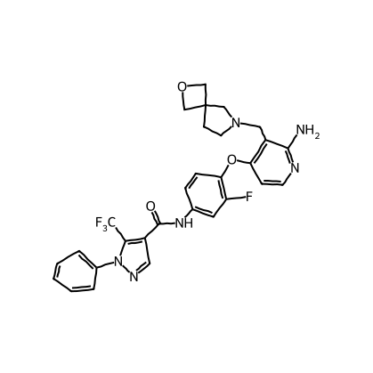 Nc1nccc(Oc2ccc(NC(=O)c3cnn(-c4ccccc4)c3C(F)(F)F)cc2F)c1CN1CCC2(COC2)C1